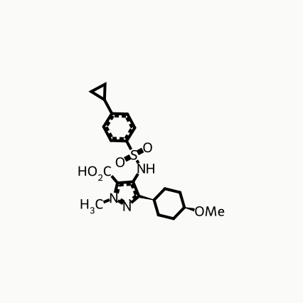 CO[C@H]1CC[C@@H](c2nn(C)c(C(=O)O)c2NS(=O)(=O)c2ccc(C3CC3)cc2)CC1